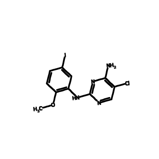 COc1ccc(I)cc1Nc1ncc(Cl)c(N)n1